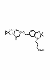 COCCCN1CC(C)(C)Oc2ccc(CO[C@@H]3CC[C@@H](CC4(C(=O)O)CC4)NC3)cc21